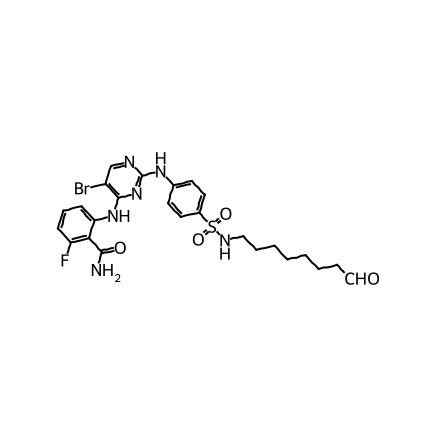 NC(=O)c1c(F)cccc1Nc1nc(Nc2ccc(S(=O)(=O)NCCCCCCCC=O)cc2)ncc1Br